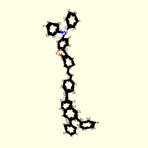 C(=C\c1ccc2c(c1)sc1cc(N(c3ccccc3)c3ccccc3)ccc12)/c1ccc(-c2ccc3cc(-c4ccccc4)c(-c4ccccc4)cc3c2)cc1